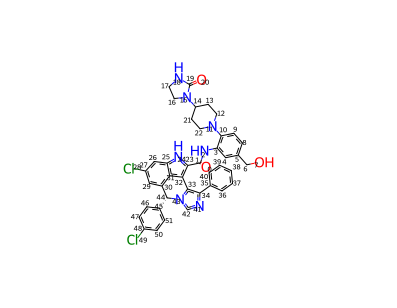 O=C(Nc1cc(CO)ccc1N1CCC(N2CCNC2=O)CC1)c1[nH]c2cc(Cl)cc3c2c1-c1c(-c2ccccc2)ncn1[C@@H]3c1ccc(Cl)cc1